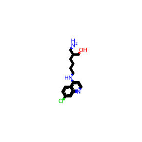 NCC(CO)CCCCNc1ccnc2cc(Cl)ccc12